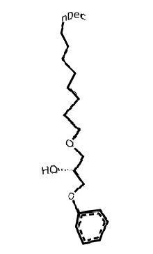 CCCCCCCCCCCCCCCCCCOC[C@@H](O)COc1ccccc1